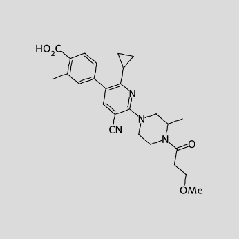 COCCC(=O)N1CCN(c2nc(C3CC3)c(-c3ccc(C(=O)O)c(C)c3)cc2C#N)CC1C